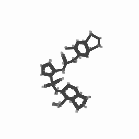 CCOC(=O)c1c(NS(=O)(=O)c2ccsc2OC(=O)Nc2cc3c(cc2C)OCO3)ccc2nsnc12